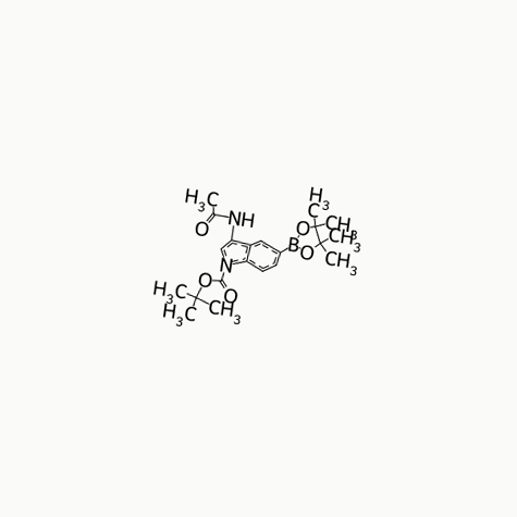 CC(=O)Nc1cn(C(=O)OC(C)(C)C)c2ccc(B3OC(C)(C)C(C)(C)O3)cc12